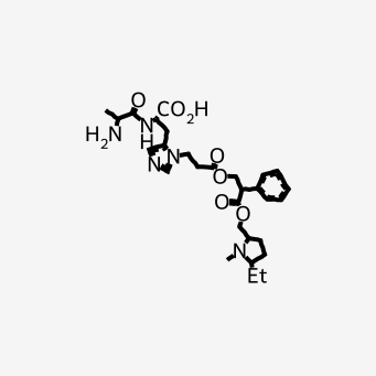 CCC1CCC(COC(=O)C(COC(=O)CCn2cncc2CC(NC(=O)C(C)N)C(=O)O)c2ccccc2)N1C